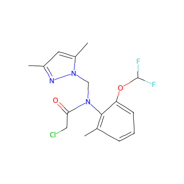 Cc1cc(C)n(CN(C(=O)CCl)c2c(C)cccc2OC(F)F)n1